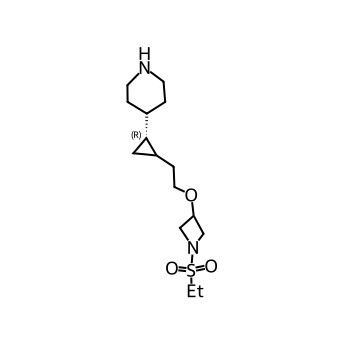 CCS(=O)(=O)N1CC(OCCC2C[C@@H]2C2CCNCC2)C1